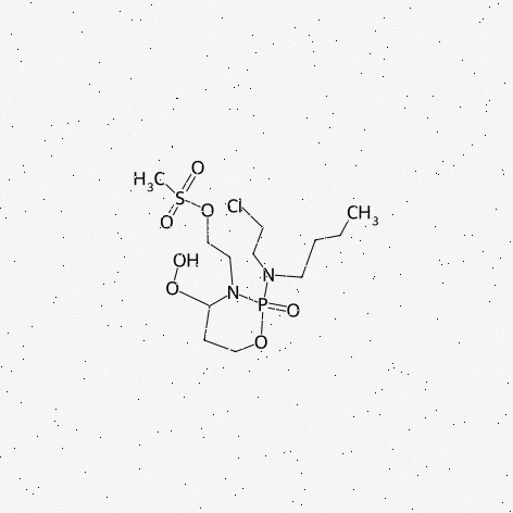 CCCCN(CCCl)P1(=O)OCCC(OO)N1CCOS(C)(=O)=O